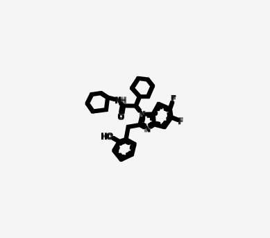 O=C(NC1CCCCC1)C(C1CCCCC1)n1c(Cc2ccccc2O)nc2cc(F)c(F)cc21